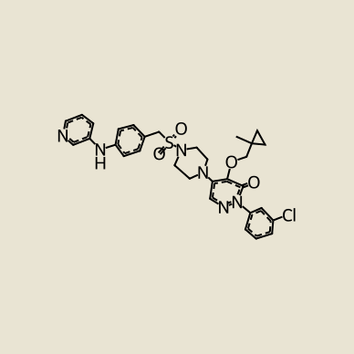 CC1(COc2c(N3CCN(S(=O)(=O)Cc4ccc(Nc5cccnc5)cc4)CC3)cnn(-c3cccc(Cl)c3)c2=O)CC1